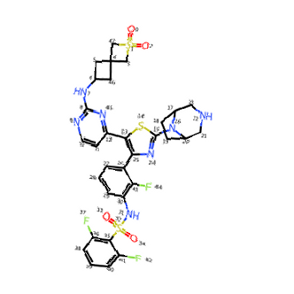 O=S1(=O)CC2(CC(Nc3nccc(-c4sc(N5C6CCC5CNC6)nc4-c4cccc(NS(=O)(=O)c5c(F)cccc5F)c4F)n3)C2)C1